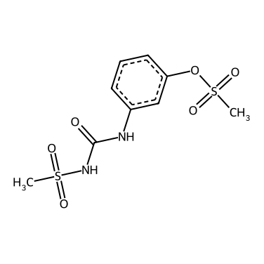 CS(=O)(=O)NC(=O)Nc1cccc(OS(C)(=O)=O)c1